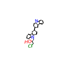 OC(CCl)Cn1c2c(c3ccccc31)CC(=c1ccc3c(c1)-c1ccccc1N=3)C=C2